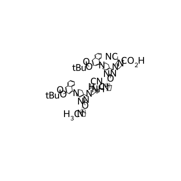 CN1CCC[C@H]1COc1nc2c(c(N3CCN(C(=O)O)C(CC#N)C3)n1)CCN(c1cc(OC(=O)C(C)(C)C)cc3ccccc13)C2.CN1CCC[C@H]1COc1nc2c(c(N3CCNC(CC#N)C3)n1)CCN(c1cc(OC(=O)C(C)(C)C)cc3ccccc13)C2